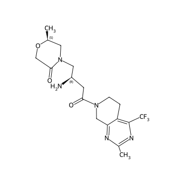 Cc1nc2c(c(C(F)(F)F)n1)CCN(C(=O)C[C@@H](N)CN1C[C@H](C)OCC1=O)C2